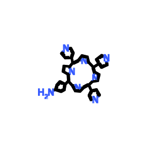 Nc1ccc(C2=C3C=CC(=N3)C(c3ccncc3)=C3C=CC(=N3)C(c3ccncc3)=C3C=CC(=N3)C(c3ccncc3)=C3C=CC2=N3)cc1